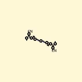 Cc1cccc(N(c2ccc(C#N)cc2)c2ccc3c(c2)C(C)(C)c2cc(/C=C/c4ccc(/C=C/c5ccc6c(c5)C(C)(C)c5cc(N(c7ccc(C#N)cc7)c7cccc(C)c7)ccc5-6)cc4)ccc2-3)c1